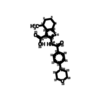 CC1CCCc2sc(NC(=O)c3ccc(N4CCOCC4)cc3)c(C(=O)O)c21